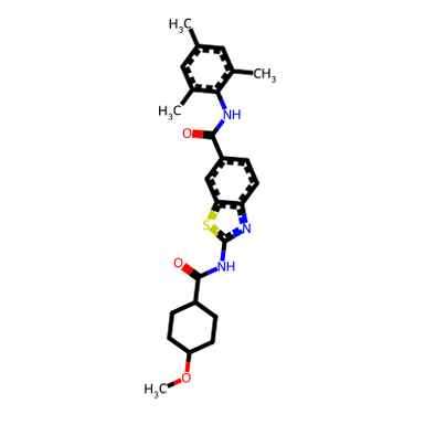 COC1CCC(C(=O)Nc2nc3ccc(C(=O)Nc4c(C)cc(C)cc4C)cc3s2)CC1